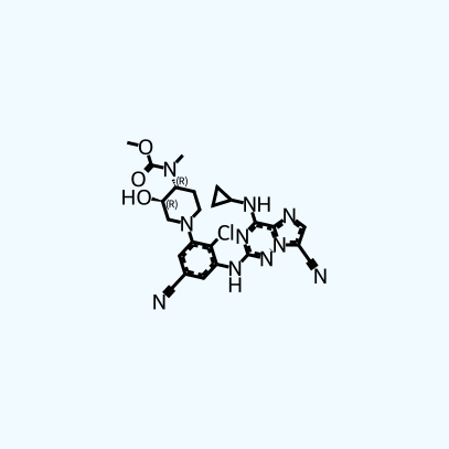 COC(=O)N(C)[C@@H]1CCN(c2cc(C#N)cc(Nc3nc(NC4CC4)c4ncc(C#N)n4n3)c2Cl)C[C@H]1O